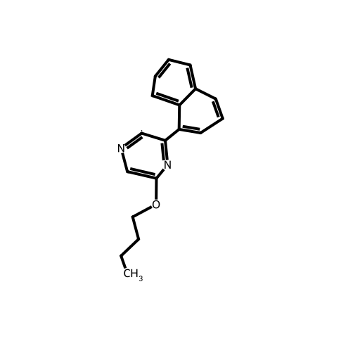 CCCCOc1cn[c]c(-c2cccc3ccccc23)n1